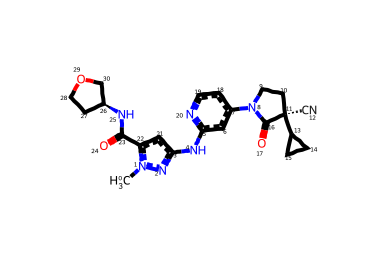 Cn1nc(Nc2cc(N3CC[C@@](C#N)(C4CC4)C3=O)ccn2)cc1C(=O)N[C@H]1CCOC1